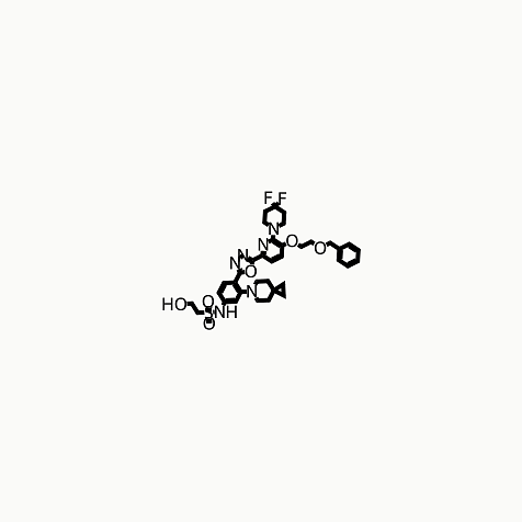 O=S(=O)(CCO)Nc1ccc(-c2nnc(-c3ccc(OCCOCc4ccccc4)c(N4CCC(F)(F)CC4)n3)o2)c(N2CCC3(CC2)CC3)c1